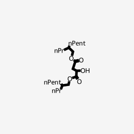 CCCCCC(CCC)COC(=O)CC(O)C(=O)OCC(CCC)CCCCC